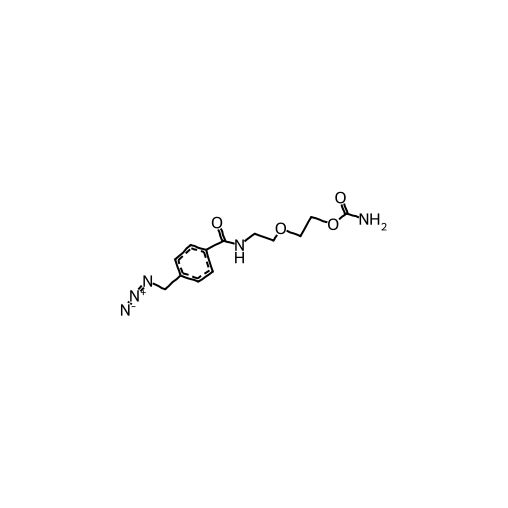 [N-]=[N+]=NCc1ccc(C(=O)NCCOCCOC(N)=O)cc1